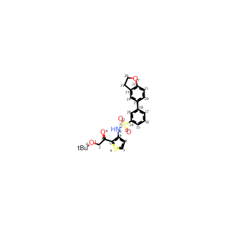 CC(C)(C)OCC(=O)c1sccc1NS(=O)(=O)c1cccc(-c2ccc3c(c2)CCO3)c1